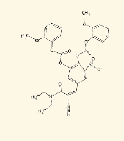 CCN(CC)C(=O)C(C#N)=Cc1cc(OC(=O)Oc2ccccc2OC)c(OC(=O)Oc2ccccc2OC)c([N+](=O)[O-])c1